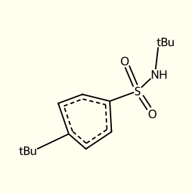 CC(C)(C)NS(=O)(=O)c1ccc(C(C)(C)C)cc1